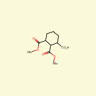 CCCCOC(=O)C1CCCC(C(=O)O)C1C(=O)OCCCC